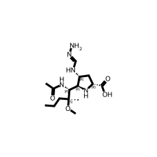 CCC[C@](C)(OC)[C@H](NC(C)=O)[C@@H]1N[C@@H](C(=O)O)C[C@H]1NC=NN